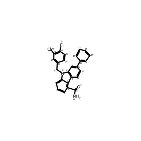 NC(=O)c1cccc2c1c1[c]cc(-c3ccccc3)cc1n2Cc1ccc(Cl)c(Cl)c1